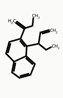 C=CC(CC)c1c(C(=C)CC)ccc2ccccc12